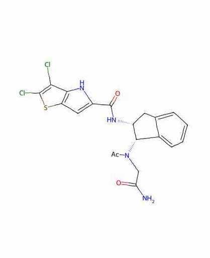 CC(=O)N(CC(N)=O)[C@H]1c2ccccc2C[C@H]1NC(=O)c1cc2sc(Cl)c(Cl)c2[nH]1